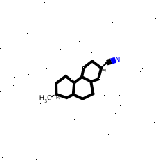 C[C@@H]1CCC2C(CCC3C[C@H](C#N)CCC32)C1